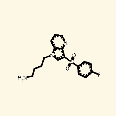 NCCCCn1cc(S(=O)(=O)c2ccc(F)cc2)c2ncccc21